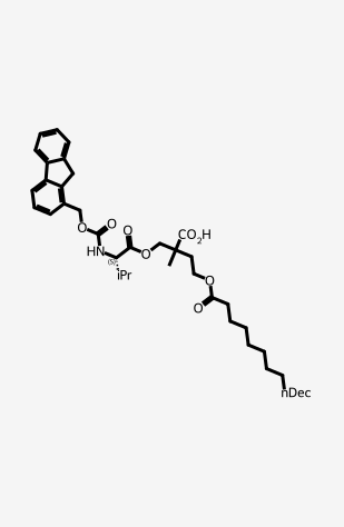 CCCCCCCCCCCCCCCCCC(=O)OCCC(C)(COC(=O)[C@@H](NC(=O)OCc1cccc2c1Cc1ccccc1-2)C(C)C)C(=O)O